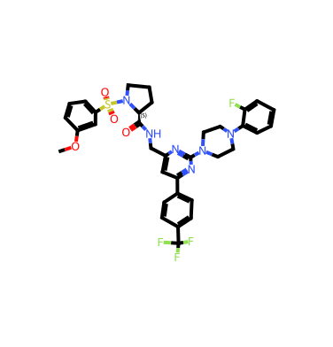 COc1cccc(S(=O)(=O)N2CCC[C@H]2C(=O)NCc2cc(-c3ccc(C(F)(F)F)cc3)nc(N3CCN(c4ccccc4F)CC3)n2)c1